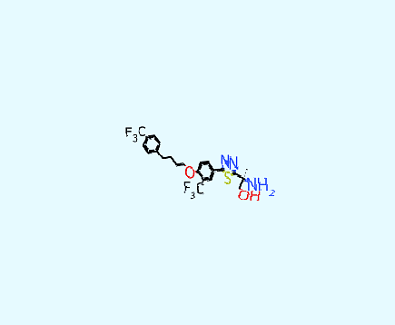 C[C@](N)(CO)c1nnc(-c2ccc(OCCCCc3ccc(C(F)(F)F)cc3)c(C(F)(F)F)c2)s1